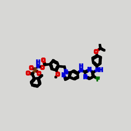 COc1cc(C(=O)ONS(=O)(=O)C(=O)c2ccccc2C)ccc1Cn1ncc2ccc(Nc3ncc(F)c(Nc4ccc(OC(C)C)cc4)n3)cc21